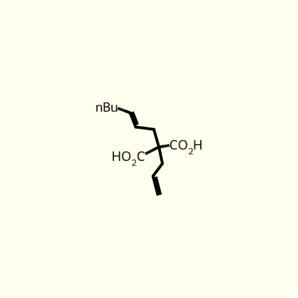 C=CCC(C/C=C/CCCC)(C(=O)O)C(=O)O